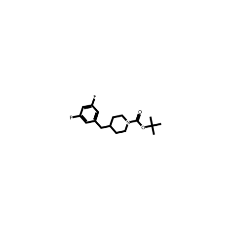 CC(C)(C)OC(=O)N1CCC(Cc2cc(F)cc(F)c2)CC1